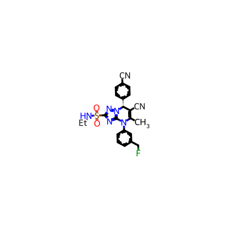 CCNS(=O)(=O)c1nc2n(n1)[C@H](c1ccc(C#N)cc1)C(C#N)=C(C)N2c1cccc(CF)c1